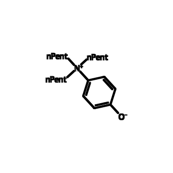 CCCCC[N+](CCCCC)(CCCCC)c1ccc([O-])cc1